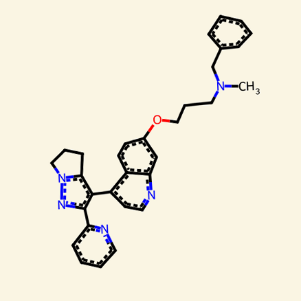 CN(CCCOc1ccc2c(-c3c(-c4ccccn4)nn4c3CCC4)ccnc2c1)Cc1ccccc1